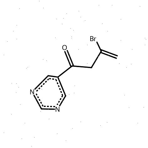 C=C(Br)CC(=O)c1cncnc1